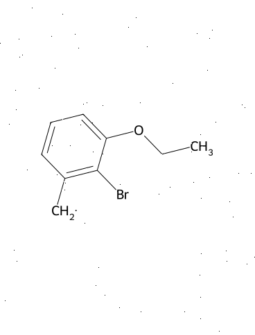 [CH2]c1cccc(OCC)c1Br